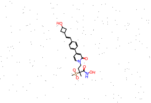 CC(CCn1ccc(-c2ccc(/C=C/C3CC(O)C3)cc2)cc1=O)(C(=O)NO)S(C)(=O)=O